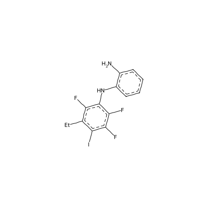 CCc1c(F)c(Nc2ccccc2N)c(F)c(F)c1I